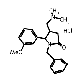 COc1cccc(C2C(CN(C)C)CC(=O)N2Cc2ccccc2)c1.Cl